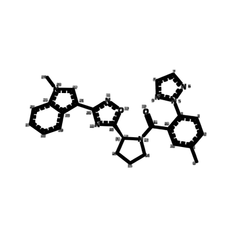 Cc1ccc(-n2nccn2)c(C(=O)N2CCC[C@H]2c2nc(-c3cn(C)c4ccccc34)no2)c1